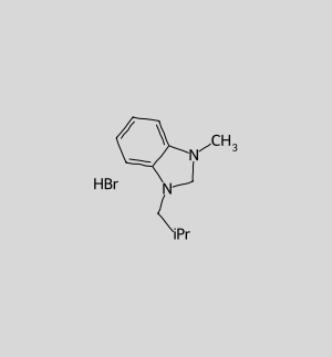 Br.CC(C)CN1CN(C)c2ccccc21